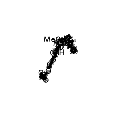 CCC(C)C(C(CC(=O)N1CCCC1C(OC)C(C)CC1(c2ccccc2)CC1)OC)N(C)C(=O)CC(C)(C)NC(=O)CCOCCOCCOCCN1C(=O)C=CC1=O